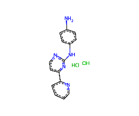 Cl.Cl.Nc1ccc(Nc2nccc(-c3ccccn3)n2)cc1